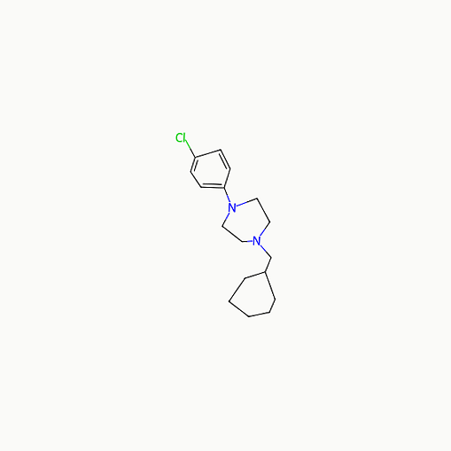 Clc1ccc(N2CCN(CC3CCCCC3)CC2)cc1